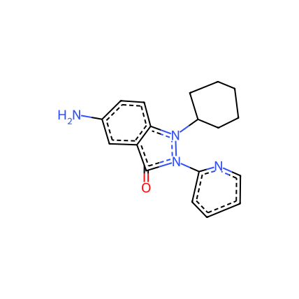 Nc1ccc2c(c1)c(=O)n(-c1ccccn1)n2C1CCCCC1